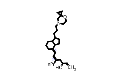 C=CC(O)C/C(=C\C=C1/CCCC2C(CCCN3CCOC4(CC4)C3)CCC12)CCC